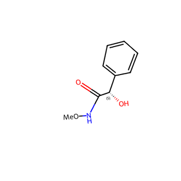 CONC(=O)[C@@H](O)c1ccccc1